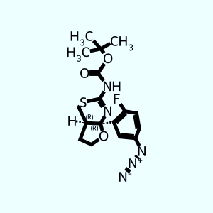 CC(C)(C)OC(=O)NC1=N[C@@]2(c3cc(N=[N+]=[N-])ccc3F)OCC[C@H]2CS1